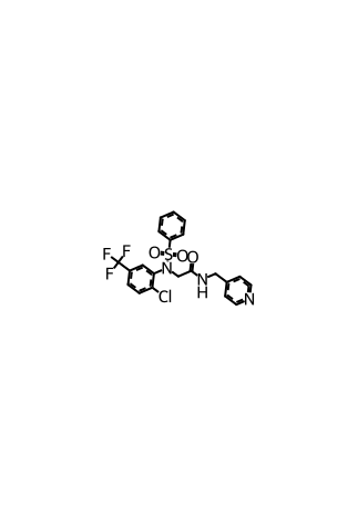 O=C(CN(c1cc(C(F)(F)F)ccc1Cl)S(=O)(=O)c1ccccc1)NCc1ccncc1